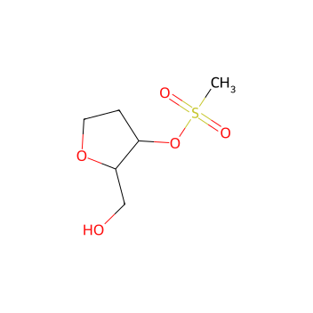 CS(=O)(=O)OC1CCOC1CO